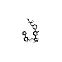 CCOC(=O)CC1CCCN(c2ccc(-c3nnn(C)c3COc3cc(-n4cccn4)ccn3)nc2C)C1